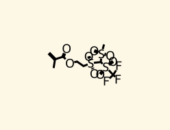 C=C(C)C(=O)OCCS(=O)(=O)C(S(C)(=O)=O)S(=O)(=O)C(F)(F)F